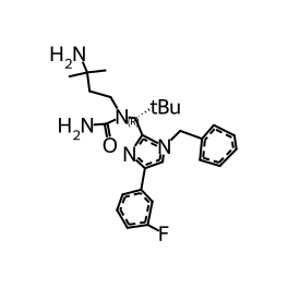 CC(C)(N)CCN(C(N)=O)[C@@H](c1nc(-c2cccc(F)c2)cn1Cc1ccccc1)C(C)(C)C